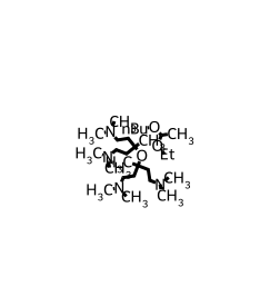 CCCCOC(C)OCC.CN(C)CCC(C)(CCN(C)C)OC(C)(CCN(C)C)CCN(C)C